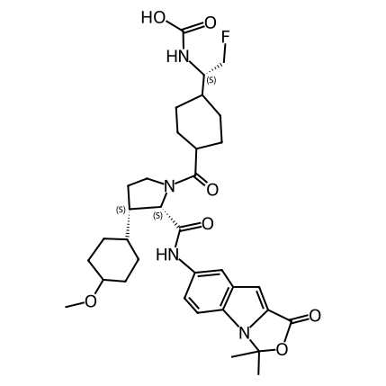 COC1CCC([C@@H]2CCN(C(=O)C3CCC([C@@H](CF)NC(=O)O)CC3)[C@@H]2C(=O)Nc2ccc3c(c2)cc2n3C(C)(C)OC2=O)CC1